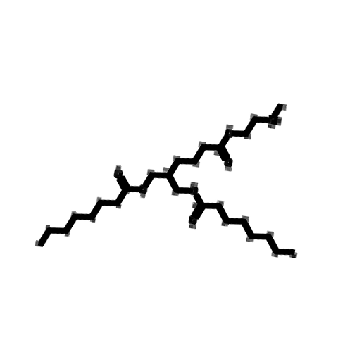 CCCCCCCC(=O)OCC(CCCC(=O)OCCNC)COC(=O)CCCCCCC